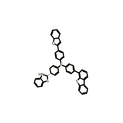 C1=CC2C=C(c3ccc(N(C4=CC[C@@H](C5Nc6ccccc6S5)C=C4)c4ccc(-c5cccc6c5sc5ccccc56)cc4)cc3)OC2C=C1